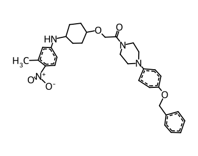 Cc1cc(NC2CCC(OCC(=O)N3CCN(c4ccc(OCc5ccccc5)cc4)CC3)CC2)ccc1[N+](=O)[O-]